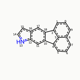 c1cc2c3c(cccc3c1)-c1cc3[nH]ccc3cc1-2